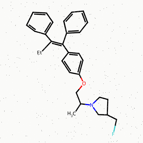 CCC(=C(c1ccccc1)c1ccc(OCC(C)N2CCC(CF)C2)cc1)c1ccccc1